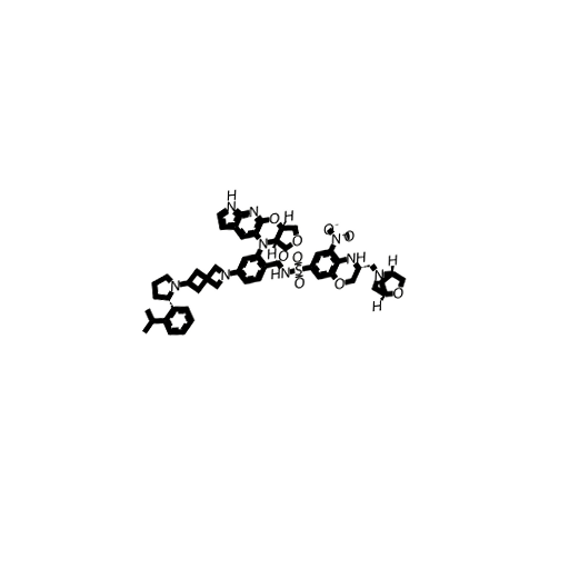 CC(C)c1ccccc1[C@@H]1CCCN1C1CC2(C1)CN(c1ccc(C(=O)NS(=O)(=O)c3cc4c(c([N+](=O)[O-])c3)N[C@H](CN3C[C@@H]5C[C@H]3CO5)CO4)c(N3c4cc5cc[nH]c5nc4O[C@H]4COC[C@@H]43)c1)C2